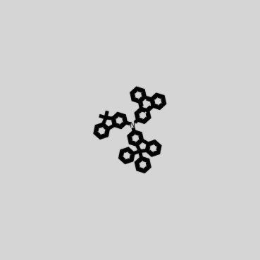 CC1(C)c2ccccc2-c2cc(N(c3ccc4c(c3)-c3ccccc3C4(c3ccccc3)c3ccccc3)c3ccc4c5ccccc5c5ccccc5c4c3)ccc21